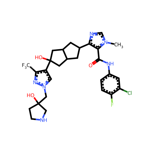 Cn1cnc(C2CC3CC(O)(c4cn(CC5(O)CCNC5)nc4C(F)(F)F)CC3C2)c1C(=O)Nc1ccc(F)c(Cl)c1